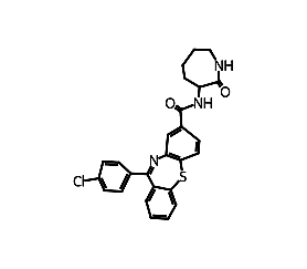 O=C(NC1CCCCNC1=O)c1ccc2c(c1)N=C(c1ccc(Cl)cc1)c1ccccc1S2